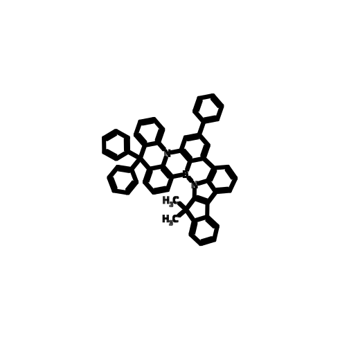 CC1(C)c2ccccc2-c2c1n1c3c(cccc23)-c2cc(-c3ccccc3)cc3c2B1c1cccc2c1N3c1ccccc1C2(c1ccccc1)c1ccccc1